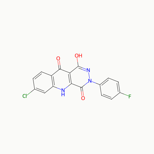 O=c1c2ccc(Cl)cc2[nH]c2c(=O)n(-c3ccc(F)cc3)nc(O)c12